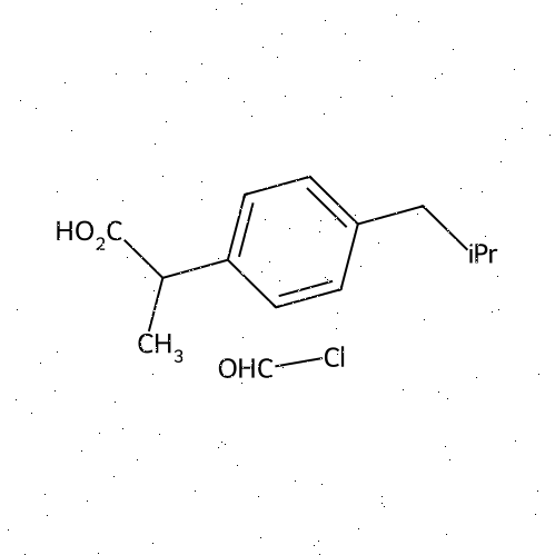 CC(C)Cc1ccc(C(C)C(=O)O)cc1.O=CCl